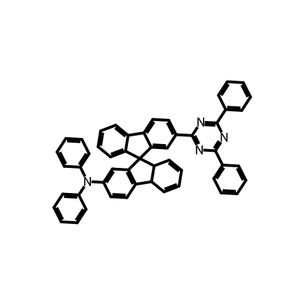 C1=CC2c3ccc(N(c4ccccc4)c4ccccc4)cc3C3(c4ccccc4-c4ccc(-c5nc(-c6ccccc6)nc(-c6ccccc6)n5)cc43)C2C=C1